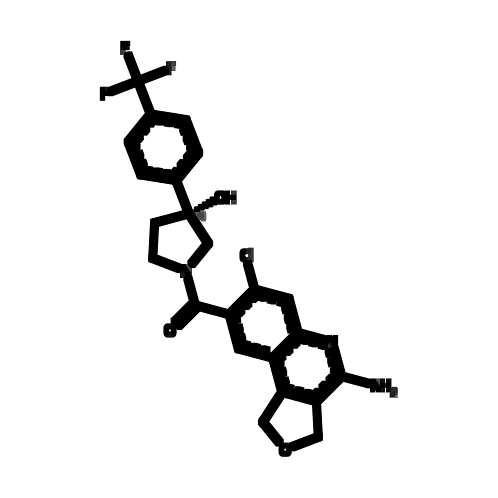 Nc1nc2cc(Cl)c(C(=O)N3CC[C@@](O)(c4ccc(C(F)(F)F)cc4)C3)cc2c2c1COC2